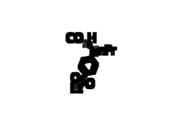 CCCN(CC(=O)O)c1ccc(S(=O)(=O)CC)cc1